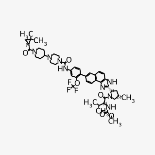 COC(=O)N[C@H](C(=O)N1C[C@@H](C)C[C@H]1c1nc2c(ccc3cc(-c4ccc(NC(=O)N5CCN(C6CCN(C(=O)[C@H]7CC7(C)C)CC6)CC5)cc4OC(F)(F)F)ccc32)[nH]1)C(C)C